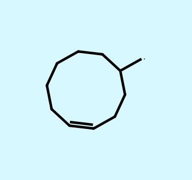 [CH2]C1CC/C=C\CCCCC1